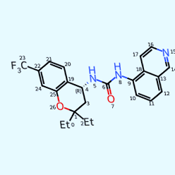 CCC1(CC)C[C@@H](NC(=O)Nc2cccc3cnccc23)c2ccc(C(F)(F)F)cc2O1